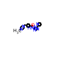 CN1CCN(Cc2ccc(C(=O)Nc3ncnc(-c4ccccn4)n3)cc2)CC1